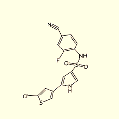 N#Cc1ccc(NS(=O)(=O)c2c[nH]c(-c3csc(Cl)c3)c2)c(F)c1